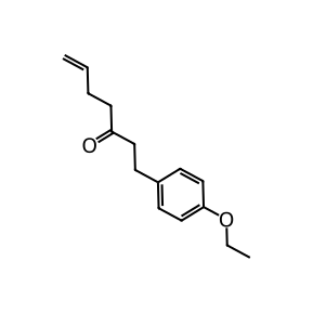 C=CCCC(=O)CCc1ccc(OCC)cc1